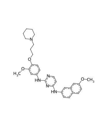 COc1ccc2ccc(Nc3ccnc(Nc4ccc(OCCCN5CCCCC5)c(OC)c4)n3)cc2c1